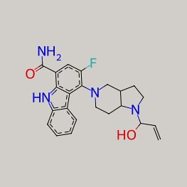 C=CC(O)N1CCC2CN(c3c(F)cc(C(N)=O)c4[nH]c5ccccc5c34)CCC21